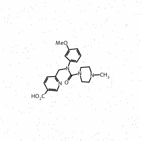 COc1cccc(N(Cc2ccc(C(=O)O)cn2)C(=O)N2CCN(C)CC2)c1